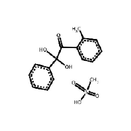 CS(=O)(=O)O.Cc1ccccc1C(=O)C(O)(O)c1ccccc1